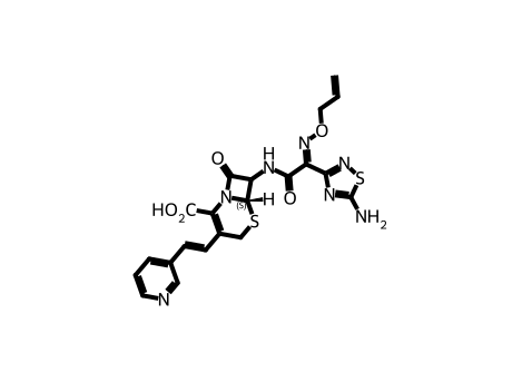 C=CCON=C(C(=O)NC1C(=O)N2C(C(=O)O)=C(C=Cc3cccnc3)CS[C@@H]12)c1nsc(N)n1